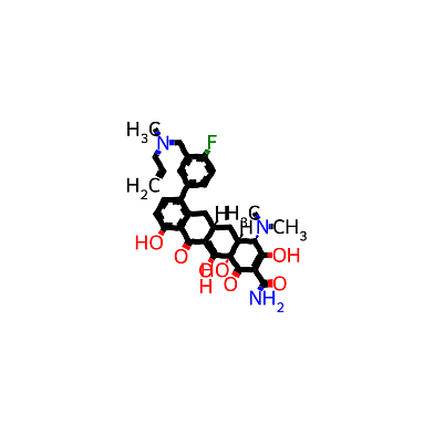 C=CCN(C)Cc1cc(-c2ccc(O)c3c2C[C@H]2C[C@H]4[C@H](N(C)C)C(O)=C(C(N)=O)C(=O)[C@@]4(O)C(O)=C2C3=O)ccc1F